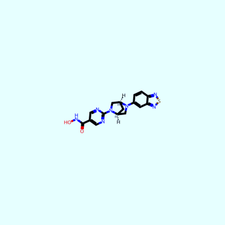 O=C(NO)c1cnc(N2C[C@@H]3C[C@H]2CN3c2ccc3nsnc3c2)nc1